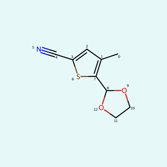 Cc1cc(C#N)sc1C1OCCO1